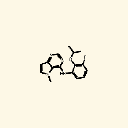 CC(C)Oc1c(F)cccc1Nc1ncnc2ccn(C)c12